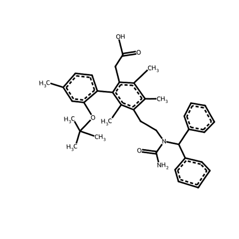 Cc1ccc(-c2c(C)c(CCN(C(N)=O)C(c3ccccc3)c3ccccc3)c(C)c(C)c2CC(=O)O)c(OC(C)(C)C)c1